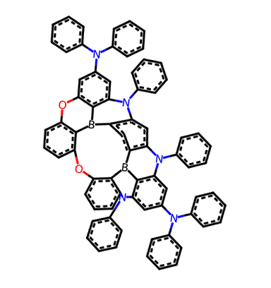 c1ccc(N(c2ccccc2)c2cc3c4c(c2)N(c2ccccc2)c2cc5c6cc2B4c2c(cccc2Oc2cccc4c2B6c2c(cc(N(c6ccccc6)c6ccccc6)cc2N4c2ccccc2)N5c2ccccc2)O3)cc1